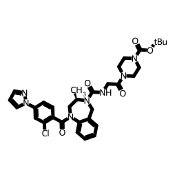 C[C@@H]1CN(C(=O)c2ccc(-n3cccn3)cc2Cl)c2ccccc2CN1C(=O)NCC(=O)N1CCN(C(=O)OC(C)(C)C)CC1